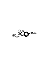 COc1ccc(CC(C)(C)C(=O)O)c([N+](=O)[O-])c1